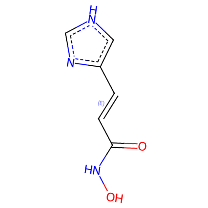 O=C(/C=C/c1c[nH]cn1)NO